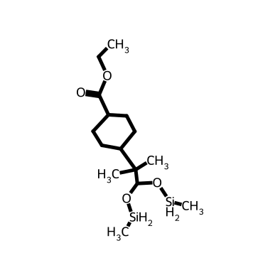 CCOC(=O)C1CCC(C(C)(C)C(O[SiH2]C)O[SiH2]C)CC1